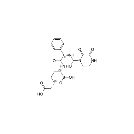 O=C(O)C[C@@H]1CC[C@H](NC(=O)[C@H](NC(O)N2CCNC(=O)C2=O)c2ccccc2)B(O)O1